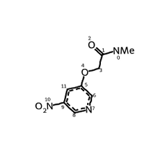 CNC(=O)COc1cncc([N+](=O)[O-])c1